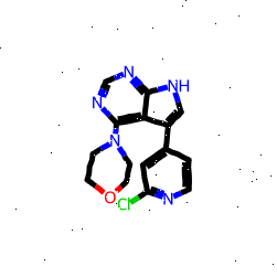 Clc1cc(-c2c[nH]c3ncnc(N4CCOCC4)c23)ccn1